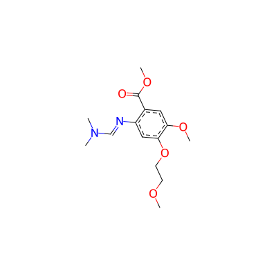 COCCOc1cc(/N=C/N(C)C)c(C(=O)OC)cc1OC